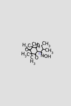 CCC(C)/C(=N\O)C1C(=O)C(C)(C)C(=O)C(C)(C)C1=O